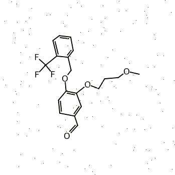 COCCCOc1cc(C=O)ccc1OCc1ccccc1C(F)(F)F